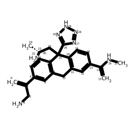 C=C(CN)c1ccc2c(c1)Cc1cc(C(=C)NC)ccc1C2(C[C@@H](C)N)c1nn[nH]n1